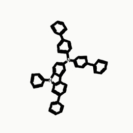 c1ccc(-c2ccc(N(c3ccc(-c4ccccc4)cc3)c3ccc4c(c3)c3ccc(-c5ccccc5)cc3n4-c3ccccc3)cc2)cc1